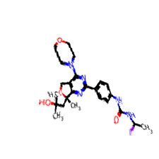 CC(I)NC(=O)Nc1ccc(-c2nc(N3CCOCC3)c3c(n2)C(C)(CC(C)(C)O)OC3)cc1